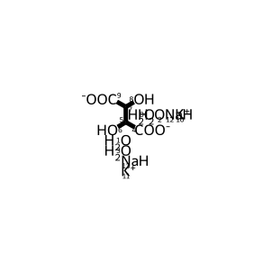 O.O.O.O.O=C([O-])C(O)C(O)C(=O)[O-].[K+].[K+].[NaH].[NaH]